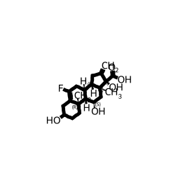 C=C1C[C@H]2[C@@H]3CC(F)=C4CC(O)CC[C@]4(C)[C@H]3[C@@H](O)C[C@]2(C)[C@@]1(O)C(=O)O